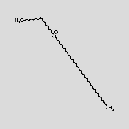 CCCCCCCC/C=C\CCCCCCCC(=O)OCCCCCCCCCCCCCCCCCCCCCCCCCCCCCCCCCCCCCC